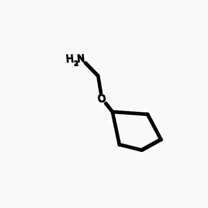 NCOC1CCCC1